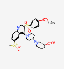 CCCCOc1ccc(S(=O)(=O)c2cnc3ccc([S+](C)[O-])cc3c2N2CCC(N3CCCC(O)C3)CC2)cc1